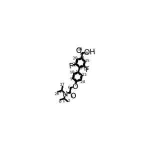 CC(C)N(C(=O)COc1ccc(-c2c(F)cc(C(=O)O)cc2F)cc1)C(C)C